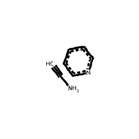 C#CN.c1ccncc1